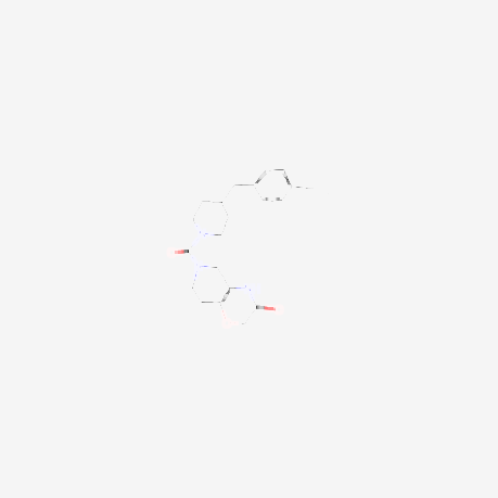 O=C1COC2=C(CN(C(=O)N3CCC(Cc4ccc(C(F)(F)F)cc4)CC3)CC2)N1